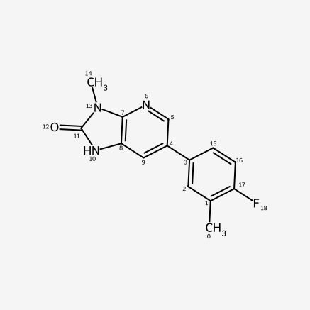 Cc1cc(-c2cnc3c(c2)[nH]c(=O)n3C)ccc1F